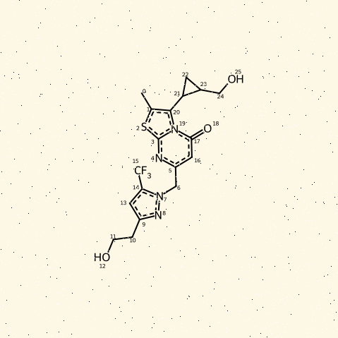 Cc1sc2nc(Cn3nc(CCO)cc3C(F)(F)F)cc(=O)n2c1C1CC1CO